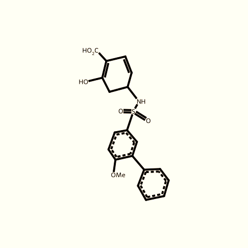 COc1ccc(S(=O)(=O)NC2C=CC(C(=O)O)=C(O)C2)cc1-c1ccccc1